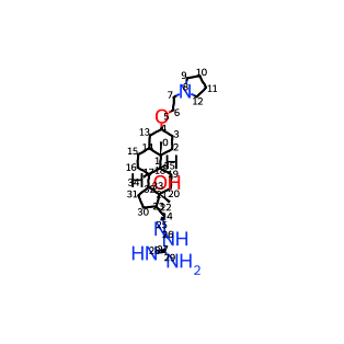 C[C@]12CCC(OCCN3CCCC3)CC1CC[C@@H]1[C@H]2CC[C@]2(C)C(/C=N/NC(=N)N)CC[C@@]12O